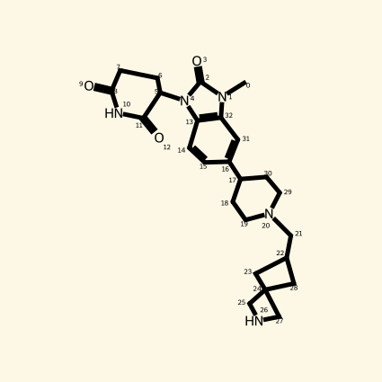 Cn1c(=O)n(C2CCC(=O)NC2=O)c2ccc(C3CCN(CC4CC5(CNC5)C4)CC3)cc21